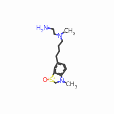 CN(CCN)CCCCc1ccc2c(c1)[S+]([O-])CN2C